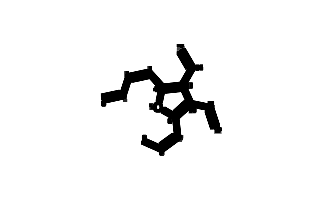 C=C/C=C\c1oc(/C=C\C)c(C=C)c1C=C